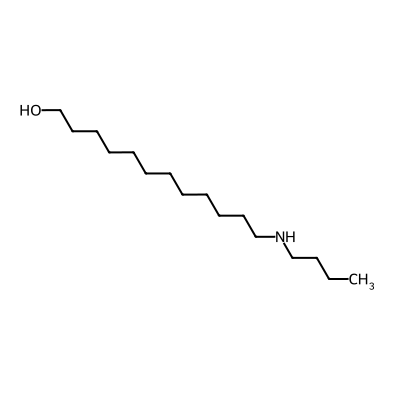 CCCCNCCCCCCCCCCCCO